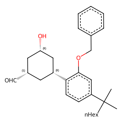 CCCCCCC(C)(C)c1ccc([C@H]2C[C@@H](O)C[C@@H](C=O)C2)c(OCc2ccccc2)c1